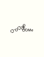 COC(=O)CS(=O)(=O)Cc1ccc(OCc2ccccc2)cc1